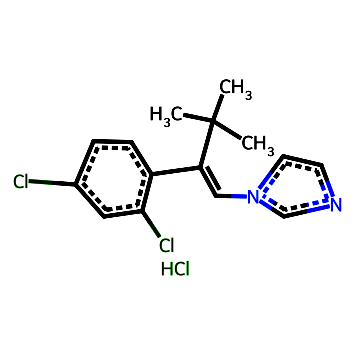 CC(C)(C)/C(=C\n1ccnc1)c1ccc(Cl)cc1Cl.Cl